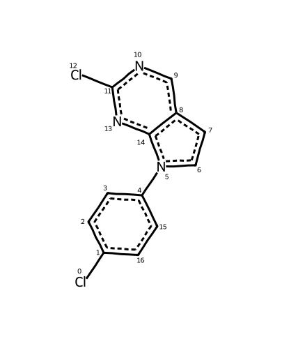 Clc1ccc(-n2ccc3cnc(Cl)nc32)cc1